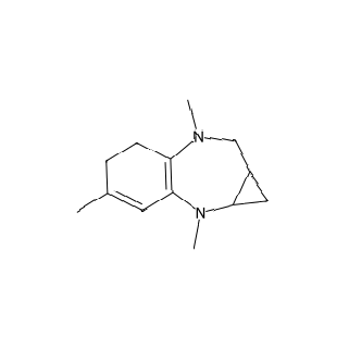 CC1=CC2=C(CC1)N(C)CC1CC1N2C